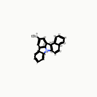 CC(C)(C)c1cc2c3ccccc3n3c4ccc5ccccc5c4c(c1)c23